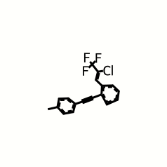 Cc1ccc(C#Cc2ccccc2C=C(Cl)C(F)(F)F)cc1